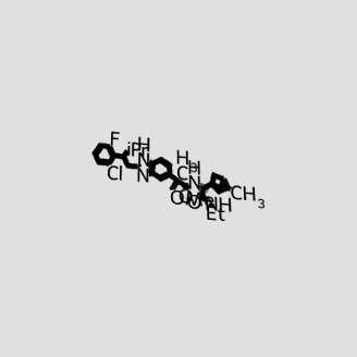 CCNC(=O)[C@H](NC(=O)C(C)(COC)c1ccc2[nH]c(CC(c3c(F)cccc3Cl)C(C)C)nc2c1)C12CC(C)C(C1)C2